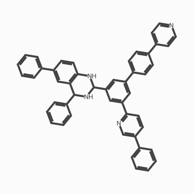 c1ccc(-c2ccc(-c3cc(-c4ccc(-c5ccncc5)cc4)cc(C4Nc5ccc(-c6ccccc6)cc5C(c5ccccc5)N4)c3)nc2)cc1